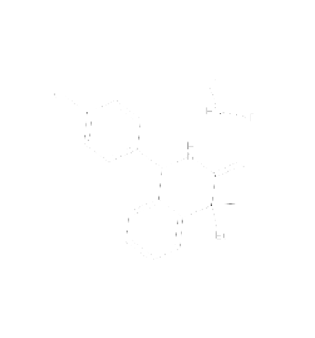 CC(C)NC(C)C.CCC1(C)C(=O)NC(c2ccc(Cl)cc2)c2ccccc21